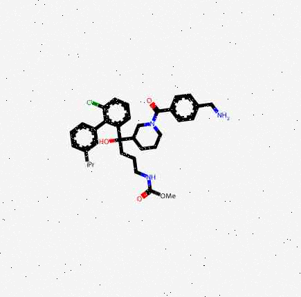 COC(=O)NCCCC(O)(c1cccc(Cl)c1-c1cccc(C(C)C)c1)C1CCCN(C(=O)c2ccc(CN)cc2)C1